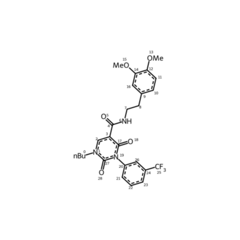 CCCCn1cc(C(=O)NCCc2ccc(OC)c(OC)c2)c(=O)n(-c2cccc(C(F)(F)F)c2)c1=O